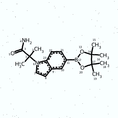 CC(C)(C(N)=O)n1ccc2cc(B3OC(C)(C)C(C)(C)O3)ccc21